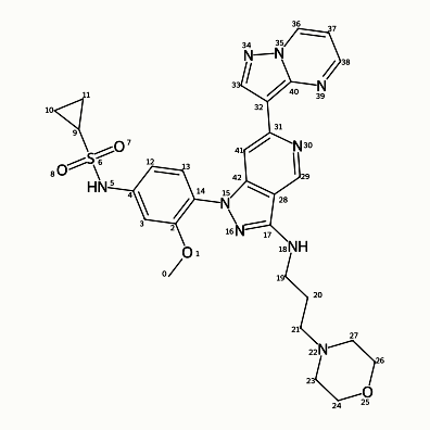 COc1cc(NS(=O)(=O)C2CC2)ccc1-n1nc(NCCCN2CCOCC2)c2cnc(-c3cnn4cccnc34)cc21